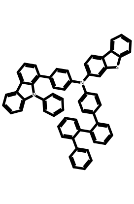 c1ccc(-c2ccccc2-c2ccccc2-c2ccc(N(c3ccc(-c4cccc5c6ccccc6n(-c6ccccc6)c45)cc3)c3ccc4c(c3)sc3ccccc34)cc2)cc1